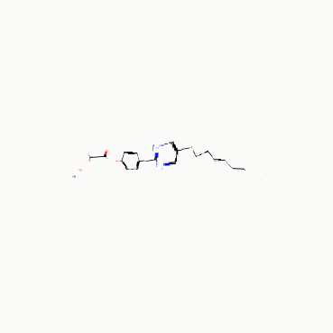 CCCCCCCCc1cnc(-c2ccc(OC(=O)C(C)OCC)cc2)nc1